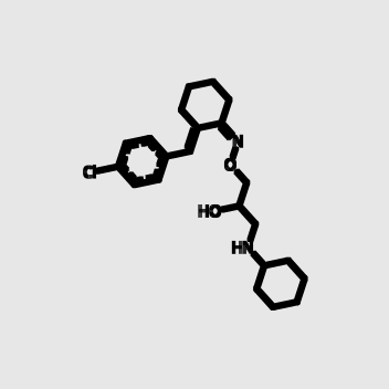 OC(CNC1CCCCC1)CON=C1CCCCC1=Cc1ccc(Cl)cc1